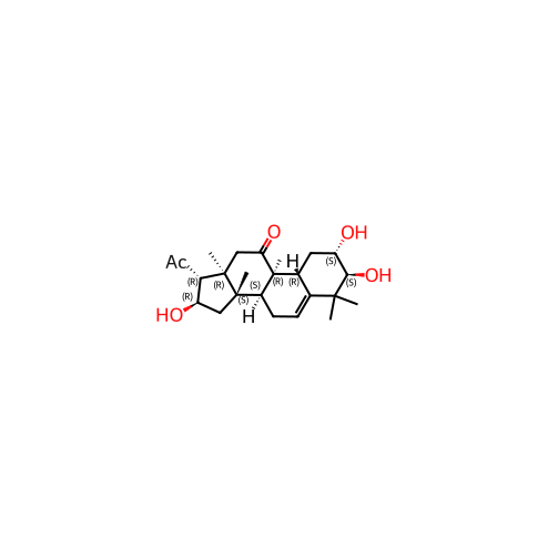 CC(=O)[C@H]1[C@H](O)C[C@@]2(C)[C@@H]3CC=C4[C@@H](C[C@H](O)[C@@H](O)C4(C)C)[C@]3(C)C(=O)C[C@]12C